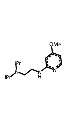 COc1ccnc(NCCN(C(C)C)C(C)C)c1